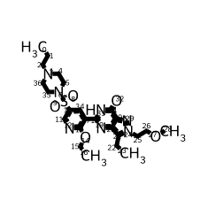 CCCN1CCN(S(=O)(=O)c2cnc(OCC)c(-c3nc4c(CC)n(CCOC)nc4c(=O)[nH]3)c2)CC1